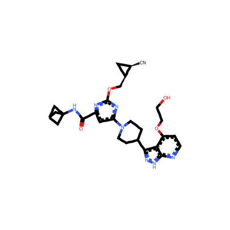 N#C[C@@H]1C[C@@H]1COc1nc(C(=O)NC23CC(C2)C3)cc(N2CCC(c3n[nH]c4nccc(OCCO)c34)CC2)n1